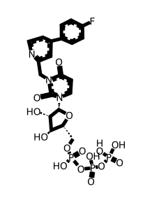 O=c1ccn([C@@H]2O[C@H](COP(=O)(O)OP(=O)(O)OP(=O)(O)O)[C@H](O)[C@@H]2O)c(=O)n1Cc1cc(-c2ccc(F)cc2)ccn1